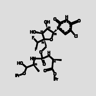 CC(C)OC(=O)[C@H](C)NP(=O)(N[C@@H](C)C(O)OC(C)C)OC[C@@]1(C(F)F)O[C@@H](n2cc(Cl)c(=O)[nH]c2=O)[C@@H](O)[C@@H]1O